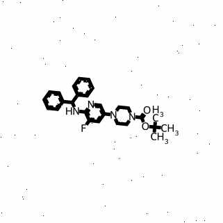 CC(C)(C)OC(=O)N1CCN(c2cnc(NC(c3ccccc3)c3ccccc3)c(F)c2)CC1